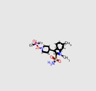 CCP(=O)(CC)ON1CCC(c2c(S(N)(=O)=O)n(C)c3cc(C)ccc23)CC1